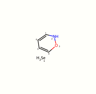 C1=CNOC=C1.[SeH2]